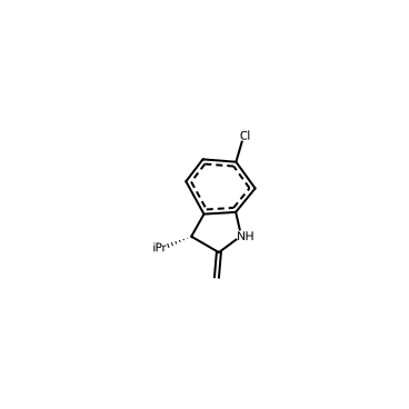 C=C1Nc2cc(Cl)ccc2[C@H]1C(C)C